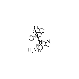 C[C@H](Nc1nc(N)ncc1-c1cccnc1)c1cc2cccc(Cl)c2c(=O)n1-c1ccccc1